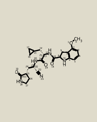 COc1cccc2c1CC(C(=O)N[C@@H](CC1CC1)C(=O)N[C@H](C#N)C[C@@H]1CCNC1=O)N2